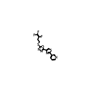 FC(F)=C(F)CCSc1nnc(-c2csc(-c3cccnc3)n2)o1